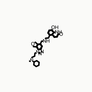 CN(CCCn1nnc2cc(CNCCc3ccc(O)c4[nH]c(=O)ccc34)c3c(c21)COC3)C1CCCCC1